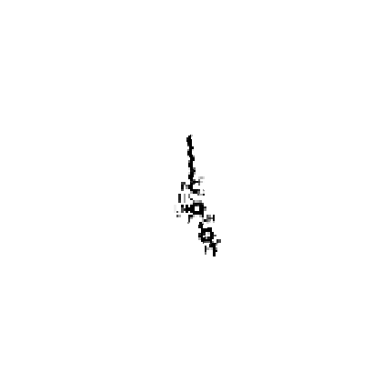 CCCCCCCC[C@@H](F)[C@H](F)C(=O)Nc1ccc(NCc2ccc(C(F)(F)F)cc2)c(F)c1N